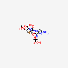 CC(=O)OCC1=C(C(=O)O)N2C(=O)[C@@H](NC(=O)/C(=N\OC(C)(C)C(=O)O)c3c[se]c(N)n3)[C@H]2SC1